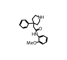 COc1ccccc1NC(=O)CC1(c2ccccc2)CCNCC1